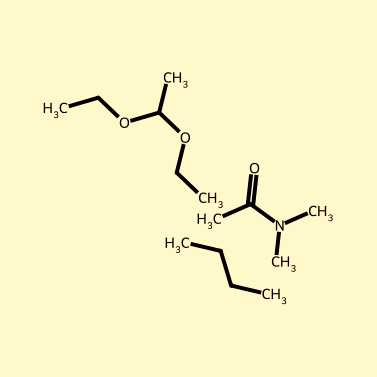 CC(=O)N(C)C.CCCC.CCOC(C)OCC